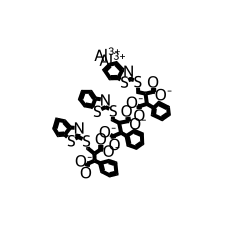 O=C([O-])C(CSc1nc2ccccc2s1)C(C(=O)[O-])c1ccccc1.O=C([O-])C(CSc1nc2ccccc2s1)C(C(=O)[O-])c1ccccc1.O=C([O-])C(CSc1nc2ccccc2s1)C(C(=O)[O-])c1ccccc1.[Al+3].[Al+3]